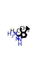 CC(C)c1c(C2CC2)ccc2[nH]nc(N)c12